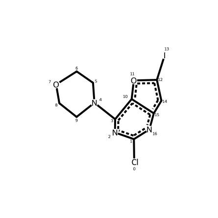 Clc1nc(N2CCOCC2)c2oc(I)cc2n1